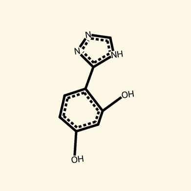 Oc1ccc(-c2nnc[nH]2)c(O)c1